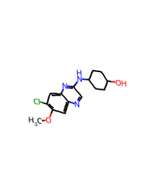 COc1cc2ncc(NC3CCC(O)CC3)nc2cc1Cl